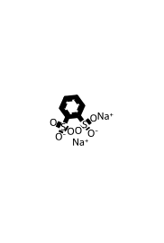 O=S(=O)([O-])c1ccccc1S(=O)(=O)[O-].[Na+].[Na+]